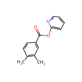 Cc1ccc(C(=O)Oc2ccccn2)cc1C